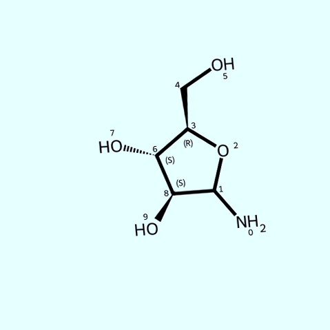 NC1O[C@H](CO)[C@@H](O)[C@@H]1O